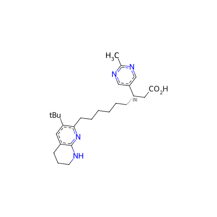 Cc1ncc([C@@H](CCCCCCc2nc3c(cc2C(C)(C)C)CCCN3)CC(=O)O)cn1